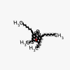 CCCCCCCCC#Cc1cc2cc(SCCC)ccc2c2c1OS(=O)Oc1c(C#CCCCCCCCC)cc3cc(SCCC)ccc3c1-2